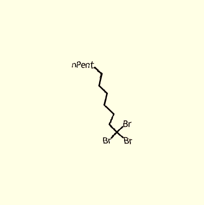 CCCCCCCCCCCC(Br)(Br)Br